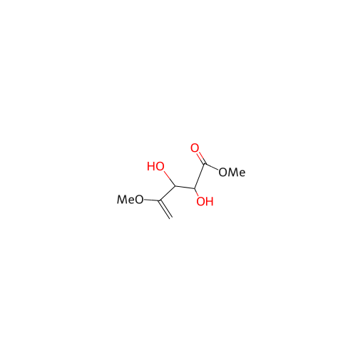 C=C(OC)C(O)C(O)C(=O)OC